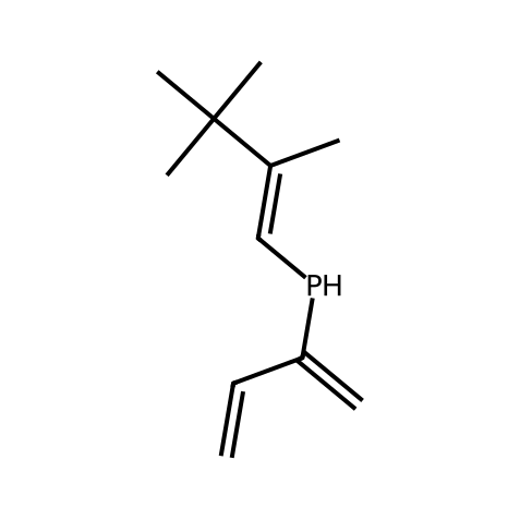 C=CC(=C)P/C=C(\C)C(C)(C)C